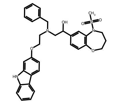 CS(=O)(=O)N1CCCOc2ccc(C(O)CN(CCOc3ccc4c(c3)[nH]c3ccccc34)Cc3ccccc3)cc21